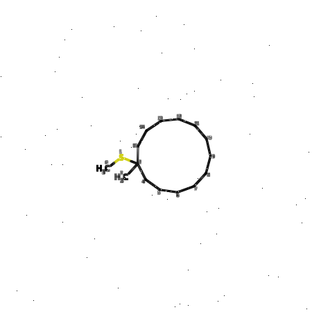 CSC1(C)CCCCCCCCCCCC1